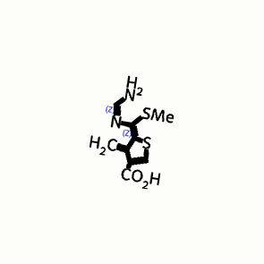 C=c1c(C(=O)O)cs/c1=C(/N=C\N)SC